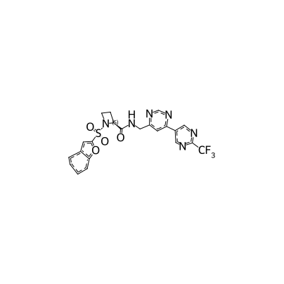 O=C(NCc1cc(-c2cnc(C(F)(F)F)nc2)ncn1)[C@@H]1CCN1S(=O)(=O)c1cc2ccccc2o1